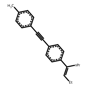 CC/C=C(\CCC)c1ccc(C#Cc2ccc(C)cc2)cc1